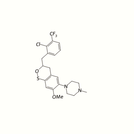 COc1cc2c(cc1N1CCN(C)CC1)CC(Cc1cccc(C(F)(F)F)c1Cl)OS2